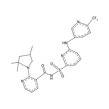 CC1CN(c2ncccc2C(=O)NS(=O)(=O)c2cccc(Nc3ccc(C(F)(F)F)nc3)n2)C(C)(C)C1